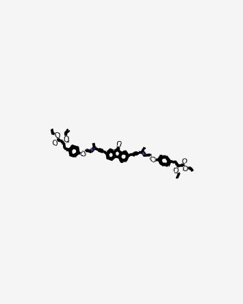 CCOC(=O)C(Cc1ccc(OC/C=C(\C)C#Cc2ccc3c(c2)C(=O)c2cc(C#C/C(C)=C/COc4ccc(CC(OCC)C(=O)OCC)cc4)ccc2-3)cc1)OCC